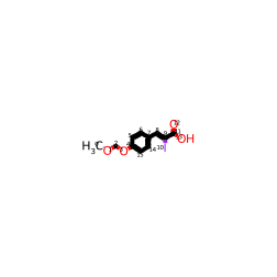 COCOc1ccc(C=C(I)C(=O)O)cc1